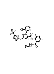 Cc1cc(F)cc(C(=O)NCC2CC2)c1NC(=O)c1cc(Cn2nnc(C(F)(F)F)n2)nn1-c1ncccc1Cl